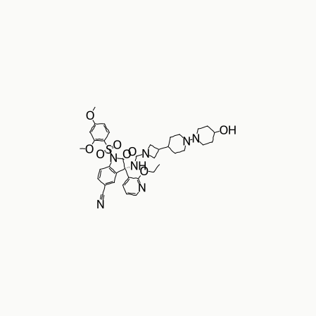 CCOc1ncccc1[C@]1(NC(=O)N2CC(C3CCN(N4CCC(O)CC4)CC3)C2)C(=O)N(S(=O)(=O)c2ccc(OC)cc2OC)c2ccc(C#N)cc21